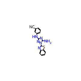 N#Cc1cccc(Nc2nc(N)n(-c3nc4ccccc4s3)n2)c1